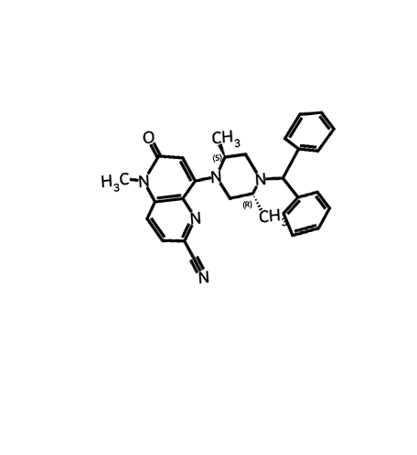 C[C@@H]1CN(c2cc(=O)n(C)c3ccc(C#N)nc23)[C@@H](C)CN1C(c1ccccc1)c1ccccc1